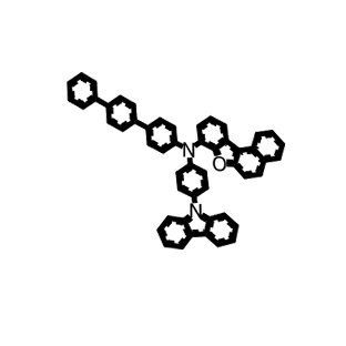 c1ccc(-c2ccc(-c3ccc(N(c4ccc(-n5c6ccccc6c6ccccc65)cc4)c4cccc5c4oc4ccc6ccccc6c45)cc3)cc2)cc1